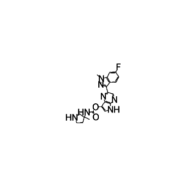 Cn1nc(-c2cnc3[nH]cc(OC(=O)NC4(C)CCNC4)c3n2)c2ccc(F)cc21